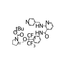 CC(C)(C)OC(=O)N1CCC[C@H]1COC(c1cccc(NC(=O)c2cccnc2NCc2ccncc2)c1)(C(F)(F)F)C(F)(F)F